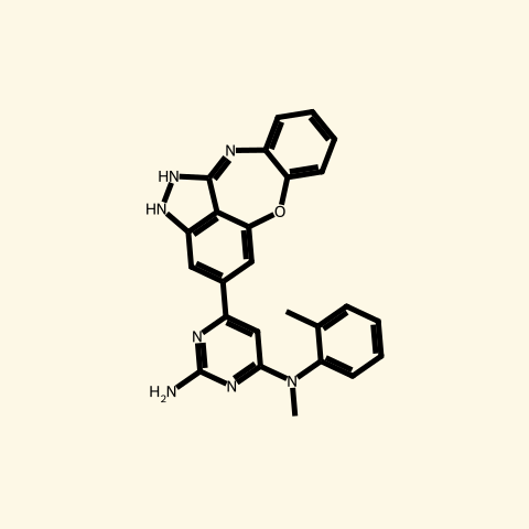 Cc1ccccc1N(C)c1cc(-c2cc3c4c(c2)Oc2ccccc2N=C4NN3)nc(N)n1